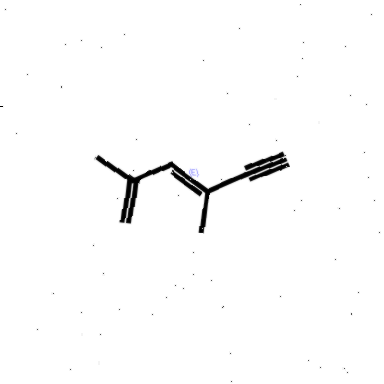 C#C/C(C)=C/C(=C)C